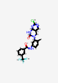 Cc1ccc(NC(=O)c2cccc(C(F)(F)F)c2)cc1N1Cc2cnc(Cl)nc2NC1=O